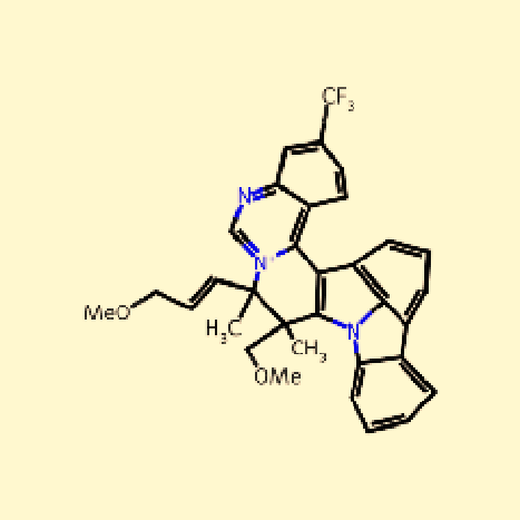 COC/C=C/C1(C)[n+]2cnc3cc(C(F)(F)F)ccc3c2-c2c(n3c4ccccc4c4cccc2c43)C1(C)COC